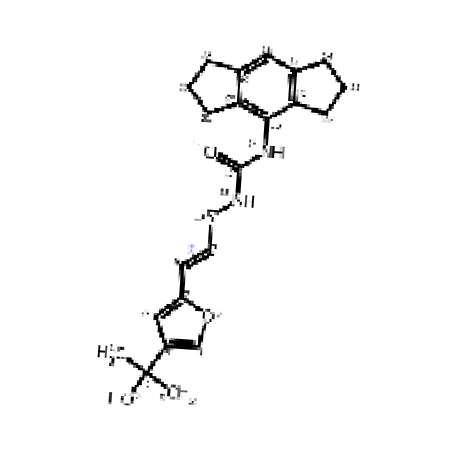 CC(C)(O)c1coc(/C=C/SNC(=O)Nc2c3c(cc4c2CCC4)CCC3)c1